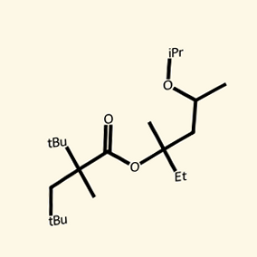 CCC(C)(CC(C)OC(C)C)OC(=O)C(C)(CC(C)(C)C)C(C)(C)C